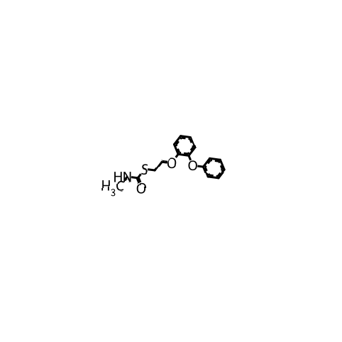 CNC(=O)SCCOc1ccccc1Oc1ccccc1